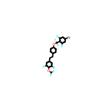 CCc1cc(F)c(C(F)(F)Oc2ccc(CCc3cc(F)c(OC(F)F)c(F)c3)cc2)c(F)c1